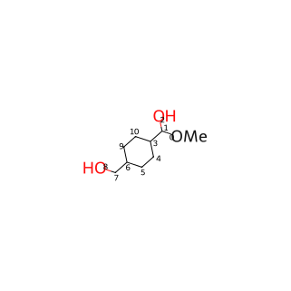 COC(O)C1CCC(CO)CC1